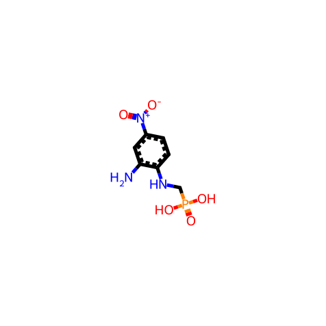 Nc1cc([N+](=O)[O-])ccc1NCP(=O)(O)O